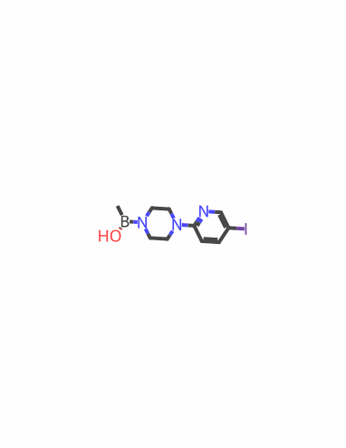 CB(O)N1CCN(c2ccc(I)cn2)CC1